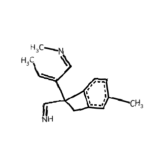 C/C=C(\C=N/C)C1(C=N)Cc2cc(C)ccc21